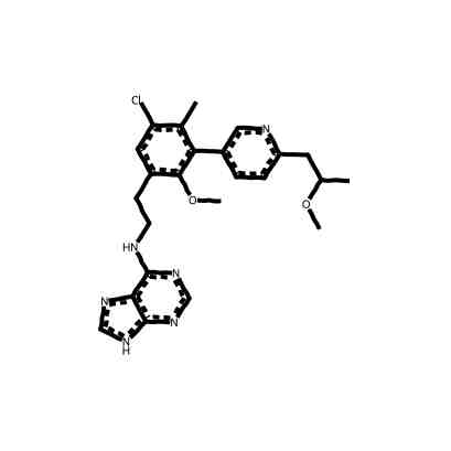 COc1c(CCNc2ncnc3[nH]cnc23)cc(Cl)c(C)c1-c1ccc(CC(C)OC)nc1